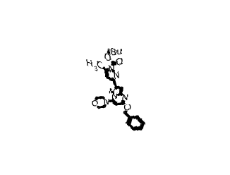 Cc1cc(-c2cc3nc(OCc4ccccc4)cc(N4CCOCC4)n3n2)nn1C(=O)OC(C)(C)C